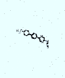 CC1CCC(c2ccc(-c3cnc(N=C=S)cn3)cc2)CC1